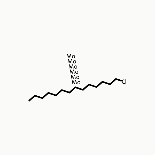 CCCCCCCCCCCCCCCl.[Mo].[Mo].[Mo].[Mo].[Mo].[Mo]